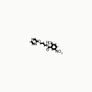 O=C(NCCCOc1cnccn1)c1cc([N+](=O)[O-])ccc1Cl